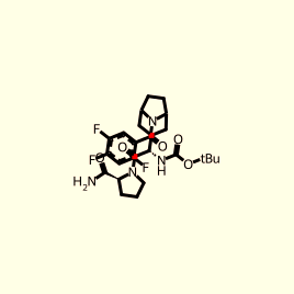 CC(C)(C)OC(=O)N[C@H](C(=O)N1CCC[C@H]1C(N)=O)C1CC2CCC(C1)N2C(=O)c1cc(F)c(F)cc1F